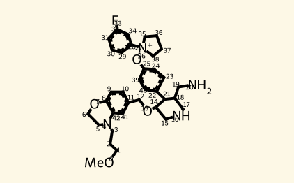 COCCCN1CCOc2ccc(COC3CNCC(CN)C3c3ccc(O[N+]4(c5cccc(F)c5)CCCC4)cc3)cc21